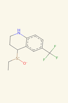 CC[S+]([O-])C1CCNc2ccc(C(F)(F)F)cc21